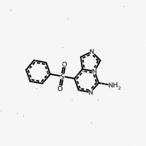 Nc1ncc(S(=O)(=O)c2ccccc2)c2cncn12